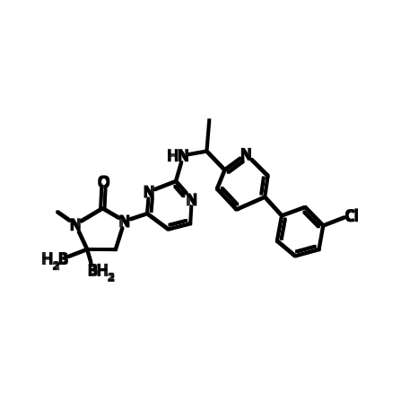 BC1(B)CN(c2ccnc(NC(C)c3ccc(-c4cccc(Cl)c4)cn3)n2)C(=O)N1C